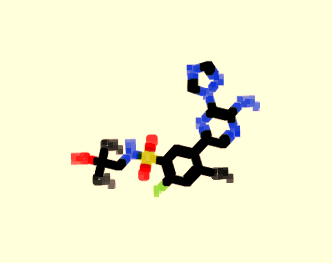 Cc1cc(F)c(S(=O)(=O)NCC(C)(C)O)cc1-c1cnc(N)c(-n2cncn2)n1